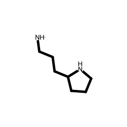 [NH]CCCC1CCCN1